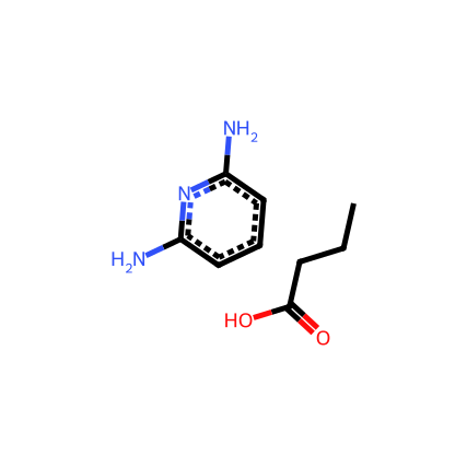 CCCC(=O)O.Nc1cccc(N)n1